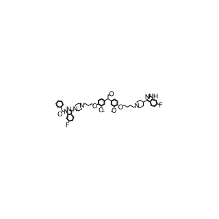 COc1cc(C(C=O)c2ccc(OCCCN3CCN(c4nn(C(=O)c5ccccc5)c5cc(F)ccc45)CC3)c(OC)c2)ccc1OCCCCN1CCC(c2n[nH]c3cc(F)ccc23)CC1